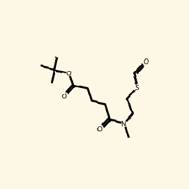 CN(CCSC=O)C(=O)CCCC(=O)OC(C)(C)C